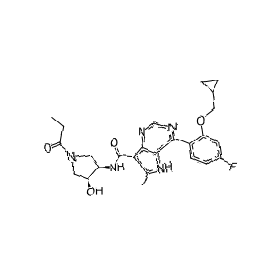 CCC(=O)N1C[C@H](O)[C@H](NC(=O)c2c(C)[nH]c3c(-c4ccc(F)cc4OCC4CC4)ncnc23)C1